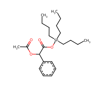 CCC[CH2][Sn]([CH2]CCC)([CH2]CCC)[O]C(=O)C(OC(C)=O)c1ccccc1